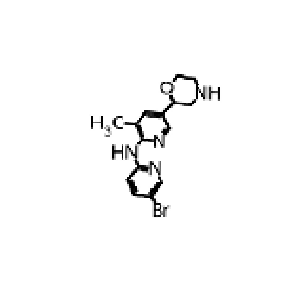 Cc1cc(C2CNCCO2)cnc1Nc1ccc(Br)cn1